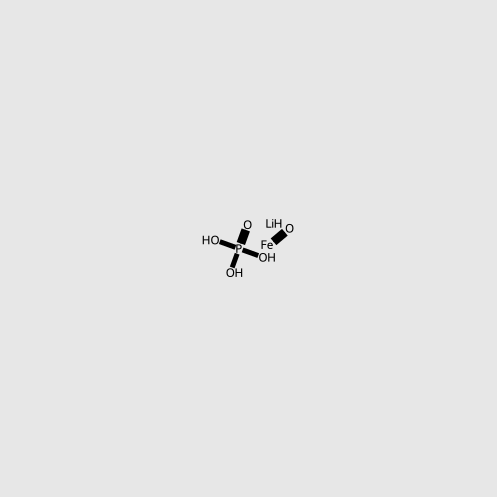 O=P(O)(O)O.[LiH].[O]=[Fe]